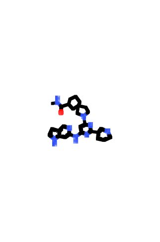 CNC(=O)C1CCCC2(CCN(c3cc(Nc4cc5[nH]ccc5cn4)nc(-c4cccnc4)n3)C2)C1